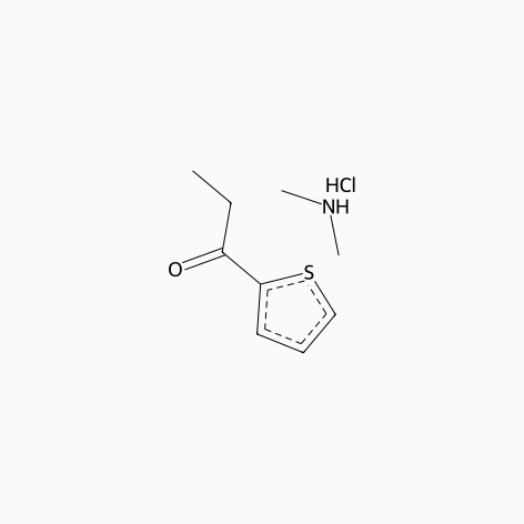 CCC(=O)c1cccs1.CNC.Cl